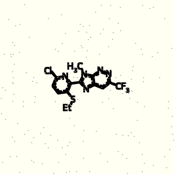 CCSc1ccc(Cl)nc1-c1nc2cc(C(F)(F)F)nnc2n1C